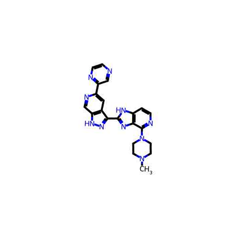 CN1CCN(c2nccc3[nH]c(-c4n[nH]c5cnc(-c6cnccn6)cc45)nc23)CC1